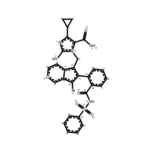 CCCc1nc(C2CC2)c(C(N)=O)n1Cc1c2ccocc-2c(Br)c1-c1ccccc1C(=O)NS(=O)(=O)c1ccccc1